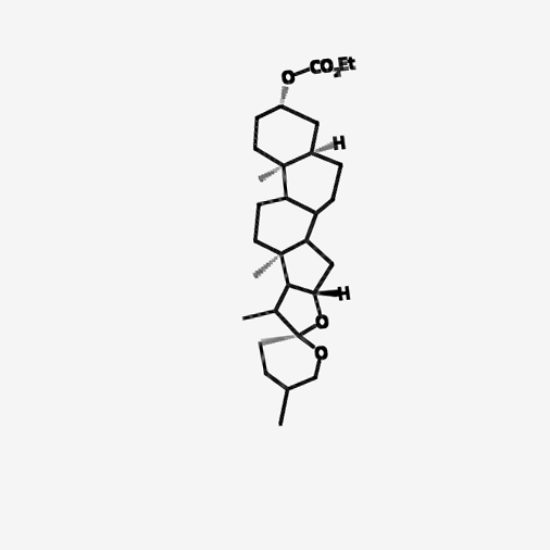 CCOC(=O)O[C@H]1CC[C@]2(C)C3CC[C@@]4(C)C(C[C@@H]5O[C@]6(CCC(C)CO6)C(C)C54)C3CC[C@@H]2C1